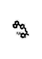 CN(CCCN1CC=C(c2cccc3ccccc23)CC1)c1cc(C(F)(F)F)ccn1